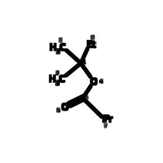 CCC(C)(C)OC(=O)C(C)C